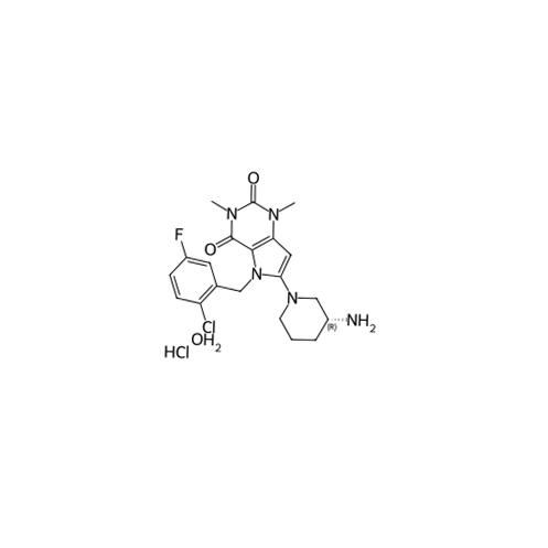 Cl.Cn1c(=O)c2c(cc(N3CCC[C@@H](N)C3)n2Cc2cc(F)ccc2Cl)n(C)c1=O.O